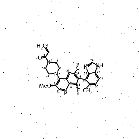 C=CC(=O)N1CCN(c2c(OC)cnc3c(F)c(-c4c(C)ccc5[nH]cnc45)c(Cl)cc23)CC1